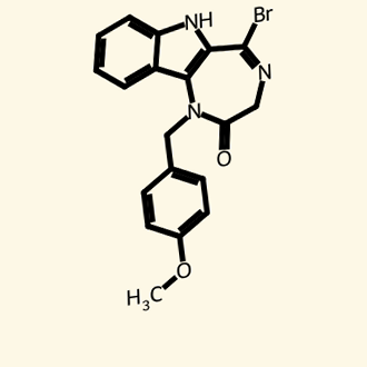 COc1ccc(CN2C(=O)CN=C(Br)c3[nH]c4ccccc4c32)cc1